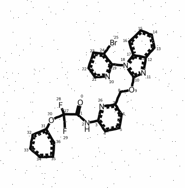 O=C(Nc1cccc(COc2nc3ccccc3n2-c2ncccc2Br)n1)C(F)(F)Oc1ccccc1